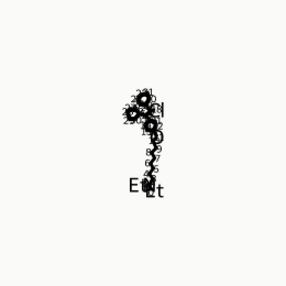 CCN(CC)CCCCCCCCOc1ccc(C(=C(Cl)c2ccccc2)c2ccccc2)cc1